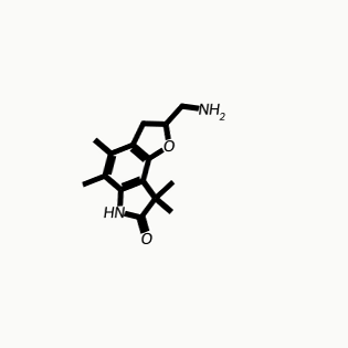 Cc1c(C)c2c(c3c1CC(CN)O3)C(C)(C)C(=O)N2